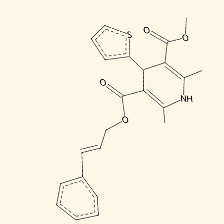 COC(=O)C1=C(C)NC(C)=C(C(=O)OCC=Cc2ccccc2)C1c1cccs1